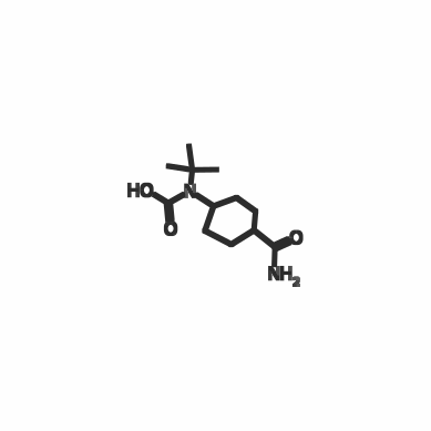 CC(C)(C)N(C(=O)O)C1CCC(C(N)=O)CC1